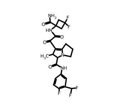 CC1C(C(=O)C(=O)NC2(C(N)=O)CC(F)(F)C2)=C2CCCN2C1C(=O)Nc1ccc(F)c(C(F)F)c1